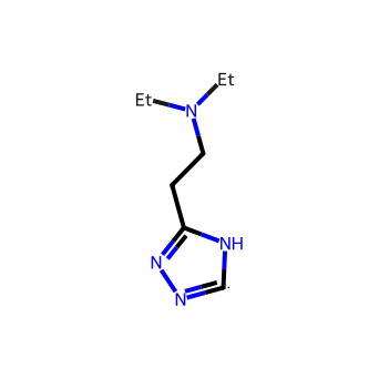 CCN(CC)CCc1nn[c][nH]1